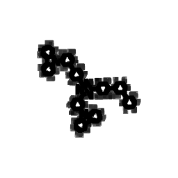 c1ccc(-c2cccc(-c3ccc(-c4nc(-c5ccc(-c6cccc(-n7c8ccccc8c8ccccc87)c6)cc5)nc(-c5cccc(-n6c7ccccc7c7ccccc76)c5)n4)cc3)c2)cc1